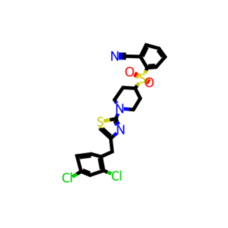 N#Cc1ccccc1S(=O)(=O)C1CCN(c2nc(Cc3ccc(Cl)cc3Cl)cs2)CC1